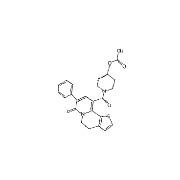 O=C(O)OC1CCN(C(=O)c2cc(-c3ccccc3)c(=O)n3c2-c2sccc2CC3)CC1